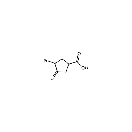 O=C1CC(C(=O)O)CC1Br